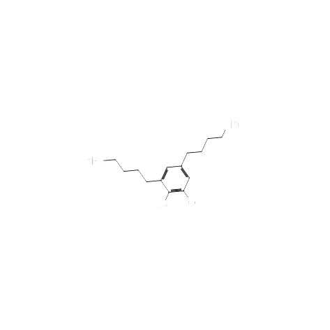 CC(C)(C)CCCCc1cc(O)c(O)c(CCCCC(C)(C)C)c1